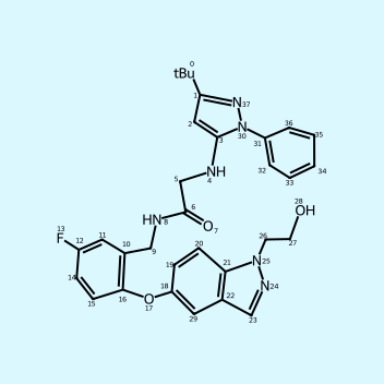 CC(C)(C)c1cc(NCC(=O)NCc2cc(F)ccc2Oc2ccc3c(cnn3CCO)c2)n(-c2ccccc2)n1